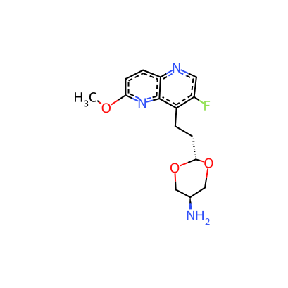 COc1ccc2ncc(F)c(CC[C@H]3OC[C@H](N)CO3)c2n1